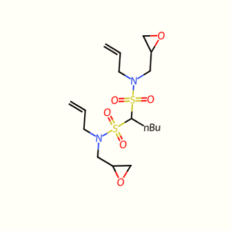 C=CCN(CC1CO1)S(=O)(=O)C(CCCC)S(=O)(=O)N(CC=C)CC1CO1